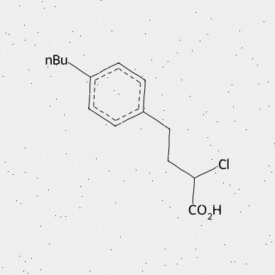 CCCCc1ccc(CCC(Cl)C(=O)O)cc1